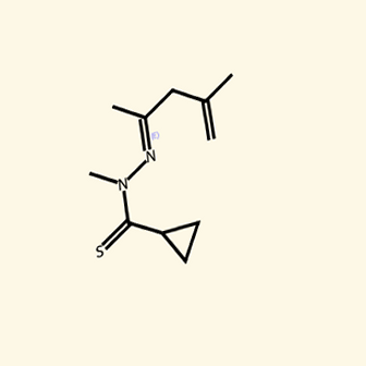 C=C(C)C/C(C)=N/N(C)C(=S)C1CC1